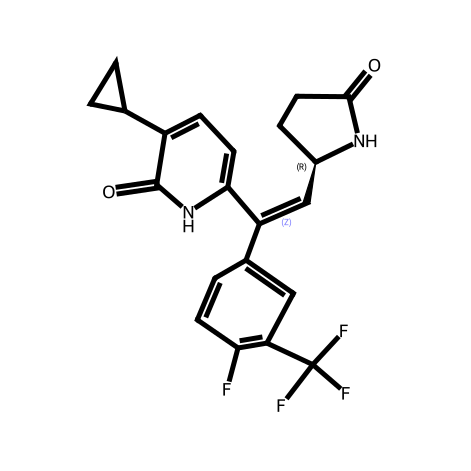 O=C1CC[C@H](/C=C(/c2ccc(F)c(C(F)(F)F)c2)c2ccc(C3CC3)c(=O)[nH]2)N1